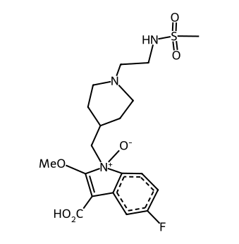 COC1=C(C(=O)O)c2cc(F)ccc2[N+]1([O-])CC1CCN(CCNS(C)(=O)=O)CC1